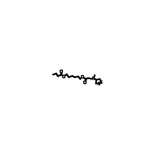 CCCC(=O)OCCCCCCOC(=O)CCN(C)C1CSSC1